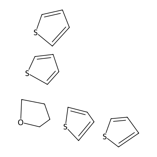 C1CCOC1.c1ccsc1.c1ccsc1.c1ccsc1.c1ccsc1